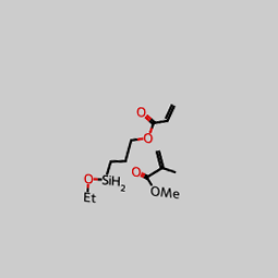 C=CC(=O)OCCC[SiH2]OCC.[CH2]OC(=O)C(=C)C